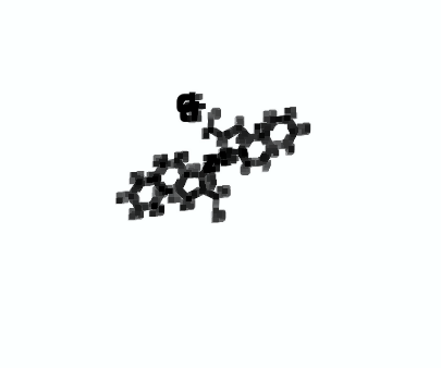 CCC1=Cc2c(ccc3ccccc23)[CH]1[Zr+2][CH]1C(CC)=Cc2c1ccc1ccccc21.[Cl-].[Cl-]